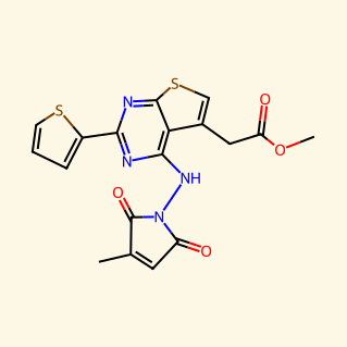 COC(=O)Cc1csc2nc(-c3cccs3)nc(NN3C(=O)C=C(C)C3=O)c12